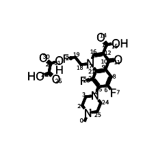 CN1CCN(c2c(F)cc3c(=O)c(C(=O)O)cn(CCF)c3c2F)CC1.O=C(O)C(=O)O